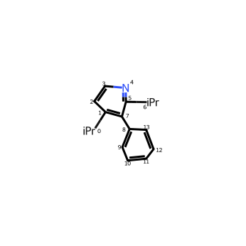 CC(C)c1ccnc(C(C)C)c1-c1ccccc1